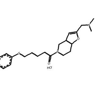 CN(C)CC1=CC2CN(C(=O)CCCCSc3ccccc3)CCC2O1.Cl